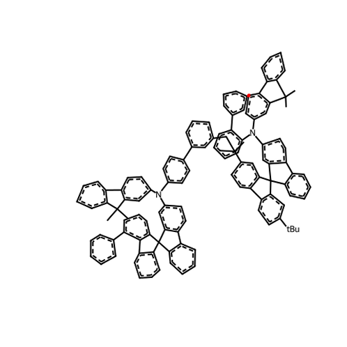 CC(C)(C)c1ccc2c(c1)C1(c3ccccc3-c3ccc(N(c4ccc5c(c4)C(C)(C)c4ccccc4-5)c4ccccc4-c4ccccc4)cc31)c1cc(C(C)(C)Cc3cccc(-c4ccc(N(c5ccc6c(c5)C(C)(C)c5ccccc5-6)c5ccc6c(c5)C5(c7ccccc7-6)c6ccccc6-c6c(-c7ccccc7)cccc65)cc4)c3)ccc1-2